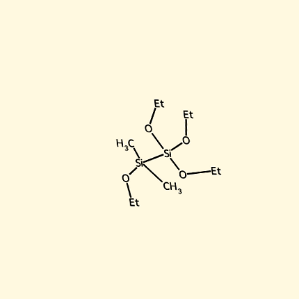 CCO[Si](C)(C)[Si](OCC)(OCC)OCC